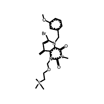 C=C1C=C(Br)N(Cc2cccc(OC)c2)c2c1n(COCCS(C)(C)C)c(=O)n(C)c2=O